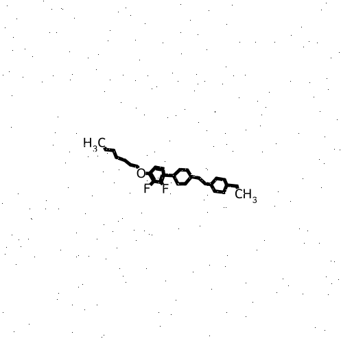 CCCCCCCOc1ccc(C2CCC(CCC3CCC(CC)CC3)CC2)c(F)c1F